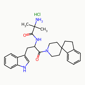 CC(C)(N)C(=O)NC(Cc1c[nH]c2ccccc12)C(=O)N1CCC2(CCc3ccccc32)CC1.Cl